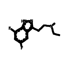 CCN(C)CCc1n[nH]c2c(F)cc(F)cc12